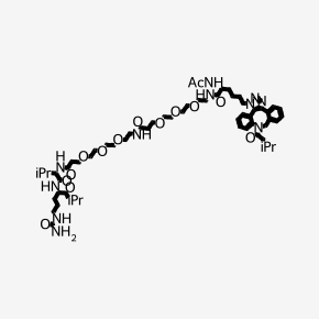 CC(=O)NC(CCCCn1nnc2c1-c1ccccc1N(C(=O)CC(C)C)Cc1ccccc1-2)C(=O)NCCOCCOCCOCCC(=O)NCCOCCOCCOCCC(=O)NC(C(=O)NC(CCCNC(N)=O)C(=O)C(C)C)C(C)C